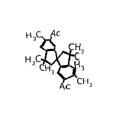 CC(=O)c1cc2c(cc1C)C(C)(C)CC21CC(C)(C)c2cc(C)c(C(C)=O)cc21